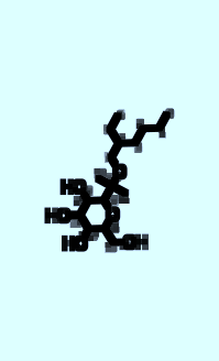 CCCCC(CC)COC(C)(C)C1OC(CO)C(O)C(O)C1O